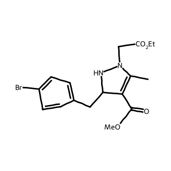 CCOC(=O)CN1NC(Cc2ccc(Br)cc2)C(C(=O)OC)=C1C